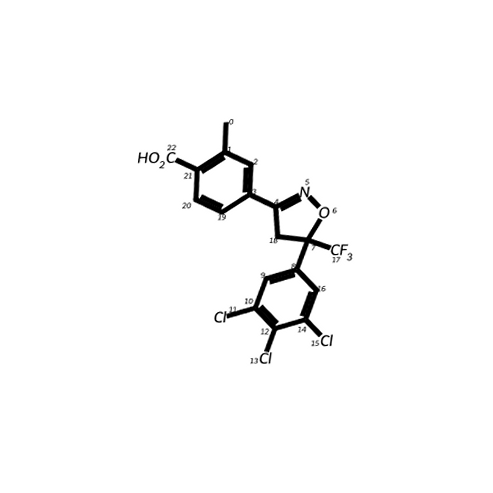 Cc1cc(C2=NOC(c3cc(Cl)c(Cl)c(Cl)c3)(C(F)(F)F)C2)ccc1C(=O)O